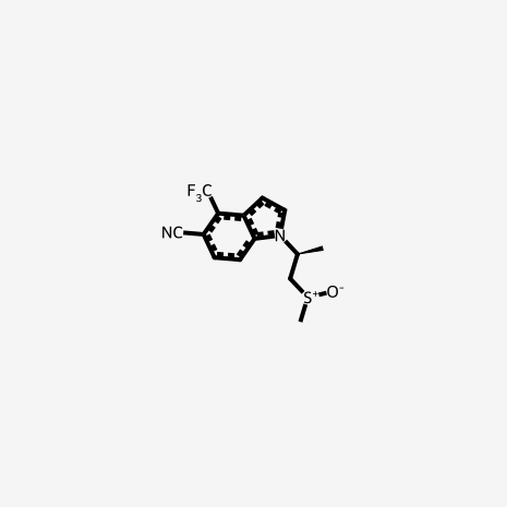 C[C@@H](C[S+](C)[O-])n1ccc2c(C(F)(F)F)c(C#N)ccc21